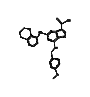 COc1ccc(CNc2cc(Nc3cccc4c3OCCC4)nc3c(C(=O)O)cnn23)cc1